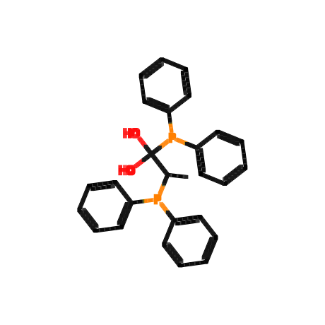 CC(P(c1ccccc1)c1ccccc1)C(O)(O)P(c1ccccc1)c1ccccc1